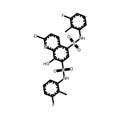 Cc1c(F)cccc1NS(=O)(=O)c1cc(S(=O)(=O)Nc2cccc(F)c2C)c2ccc(Cl)nc2c1O